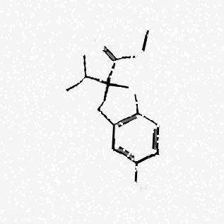 COC(=O)C1(C(C)C)Cc2cc(O)ccc2O1